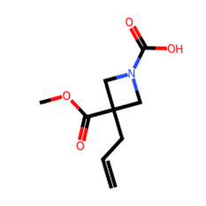 C=CCC1(C(=O)OC)CN(C(=O)O)C1